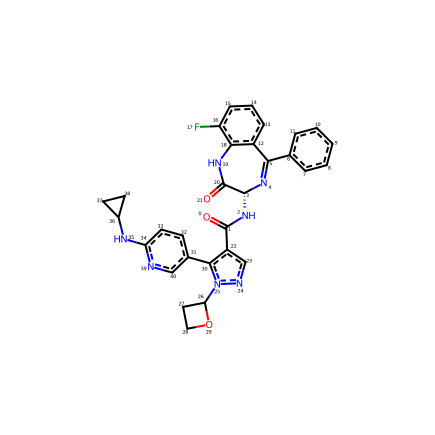 O=C(N[C@H]1N=C(c2ccccc2)c2cccc(F)c2NC1=O)c1cnn(C2CCO2)c1-c1ccc(NC2CC2)nc1